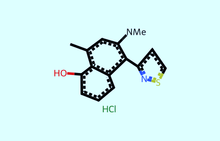 CNc1cc(C)c2c(O)cccc2c1-c1ccsn1.Cl